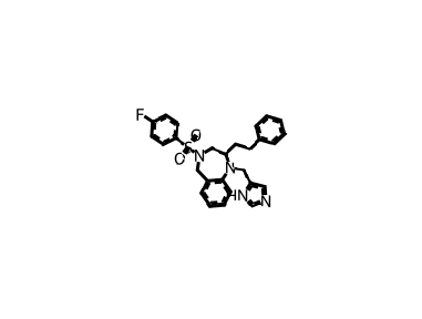 O=S(=O)(c1ccc(F)cc1)N1Cc2ccccc2N(Cc2cnc[nH]2)C(CCc2ccccc2)C1